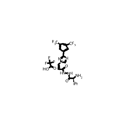 CC(C)[C@H](N)C(=O)NNC(=O)/C=C\n1cnc(-c2cc(C(F)(F)F)cc(C(F)(F)F)c2)n1.O=C(O)C(F)(F)F